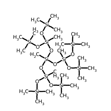 [CH2][Si](O[Si](C)(O[Si](C)(C)C)O[Si](C)(C)C)(O[Si](C)(O[Si](C)(C)C)O[Si](C)(C)C)O[Si](C)(O[Si](C)(C)C)O[Si](C)(C)C